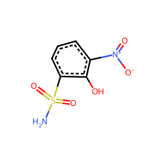 NS(=O)(=O)c1cccc([N+](=O)[O-])c1O